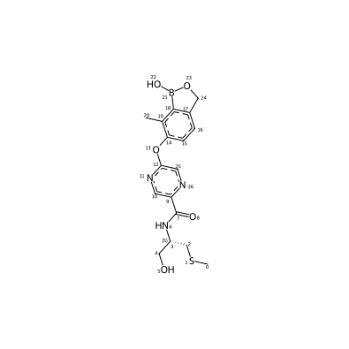 CSC[C@H](CO)NC(=O)c1cnc(Oc2ccc3c(c2C)B(O)OC3)cn1